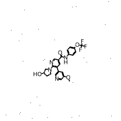 COc1cncc(-c2cc(C(=O)Nc3ccc(OC(F)(F)F)cc3)cnc2N2CCC(O)C2)c1